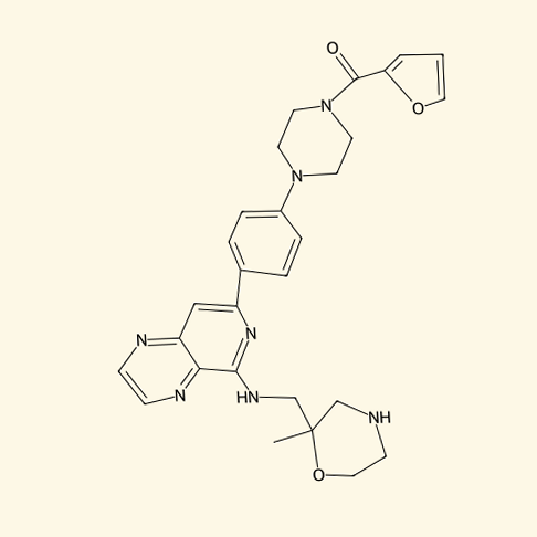 CC1(CNc2nc(-c3ccc(N4CCN(C(=O)c5ccco5)CC4)cc3)cc3nccnc23)CNCCO1